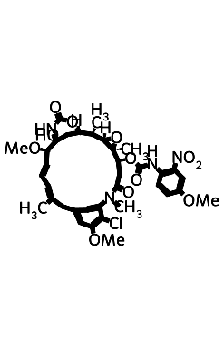 COc1ccc(NC(=O)O[C@H]2CC(=O)N(C)c3cc(cc(OC)c3Cl)C/C(C)=C/C=C/[C@@H](OC)[C@@]3(O)C[C@H](OC(=O)N3)[C@@H](C)[C@@H]3O[C@@]23C)c([N+](=O)[O-])c1